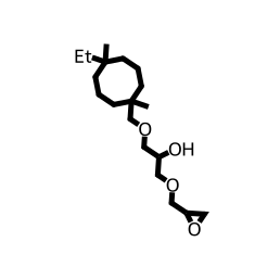 CCC1(C)CCCC(C)(COCC(O)COCC2CO2)CCC1